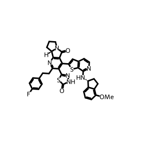 COc1cccc2c1CC[C@H]2Nc1nccc2cc(-c3c4c(nc(CCc5ccc(F)cc5)c3-c3n[nH]c(=O)s3)[C@@H]3CCCN3C4=O)sc12